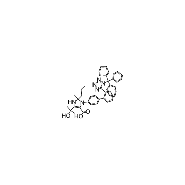 CCCC1(C)NC(C(C)(C)O)=C(C(=O)O)N1c1ccc(-c2ccccc2-c2nnnn2C(c2ccccc2)(c2ccccc2)c2ccccc2)cc1